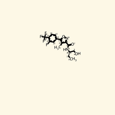 CC[C@H](CO)NC(=O)c1noc(-c2ccc(C(F)(F)F)c(F)c2)c1C